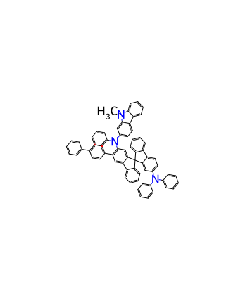 Cn1c2ccccc2c2ccc(N(c3ccccc3)c3cc4c(cc3-c3ccc(-c5ccccc5)cc3)-c3ccccc3C43c4ccccc4-c4ccc(N(c5ccccc5)c5ccccc5)cc43)cc21